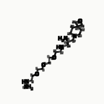 NNCCOCCOCCOCCNCC(N)CN1CCC2(CC1)COC2